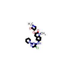 CN1CC[C@H](OC2=CC3C=C(Nc4nc(N5CCCCC5)ncc4Cl)C=CC3N(C)C2=O)C1=O